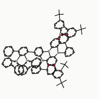 CC(C)(C)c1ccc(-c2cc3c4c(c2)N(c2ccccc2-c2ccccc2)c2cc(-n5c6ccc(C(C)(C)C)cc6c6cc(C(C)(C)C)ccc65)ccc2B4c2ccc(-c4ccc(-c5ccccc5)c(-n5c6ccccc6c6ccccc65)c4-n4c5ccccc5c5ccccc54)cc2N3c2ccccc2-c2ccccc2)c(C(C)(C)C)c1